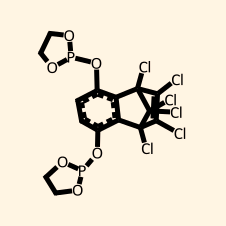 ClC1=C(Cl)C2(Cl)c3c(OP4OCCO4)ccc(OP4OCCO4)c3C1(Cl)C2(Cl)Cl